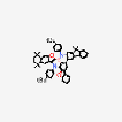 CC(C)(C)c1ccc(N2B3c4oc5cc6c(cc5c4N(c4ccc(C(C)(C)C)cc4)c4c3c(cc3c4oc4ccccc43)-c3cc4c(cc32)C(C)(C)c2ccccc2-4)C(C)(C)CCC6(C)C)cc1